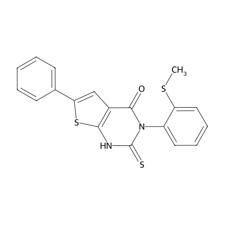 CSc1ccccc1-n1c(=S)[nH]c2sc(-c3ccccc3)cc2c1=O